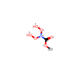 CCOC(=O)N(OO)OO